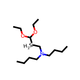 CCCCN(CCCC)C[SiH2]C(OCC)OCC